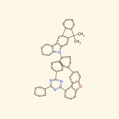 CC1(C)c2ccccc2-c2cc3c4ccccc4n(-c4ccc(-c5ccc6oc7cccc(-c8nc(-c9ccccc9)nc(-c9ccccc9)n8)c7c6c5)cc4)c3cc21